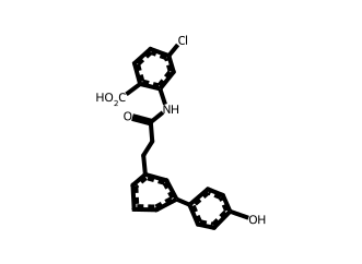 O=C(CCc1cccc(-c2ccc(O)cc2)c1)Nc1cc(Cl)ccc1C(=O)O